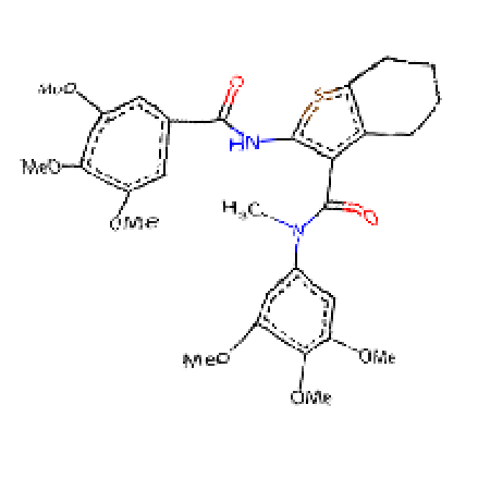 COc1cc(C(=O)Nc2sc3c(c2C(=O)N(C)c2cc(OC)c(OC)c(OC)c2)CCCC3)cc(OC)c1OC